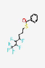 O=C(SCCCC(F)C(F)C(F)C(F)(F)F)c1ccccc1